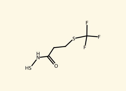 O=C(CCSC(F)(F)F)NS